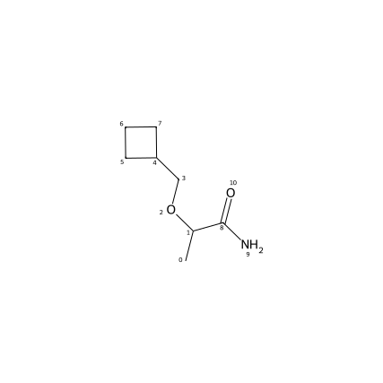 CC(OCC1CCC1)C(N)=O